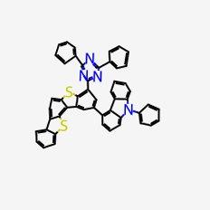 c1ccc(-c2nc(-c3ccccc3)nc(-c3cc(-c4cccc5c4c4ccccc4n5-c4ccccc4)cc4c3sc3ccc5c6ccccc6sc5c34)n2)cc1